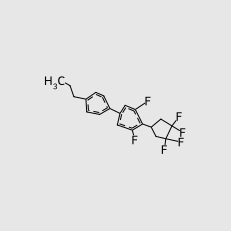 CCCc1ccc(-c2cc(F)c(C3CC(F)(F)C(F)(F)C3)c(F)c2)cc1